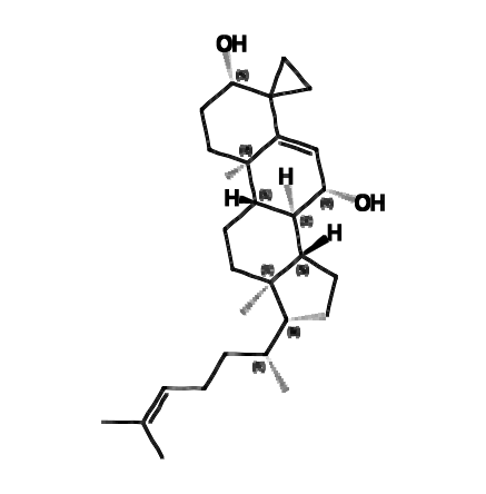 CC(C)=CCC[C@@H](C)[C@H]1CC[C@H]2[C@@H]3[C@@H](O)C=C4C5(CC5)[C@@H](O)CC[C@]4(C)[C@H]3CC[C@]12C